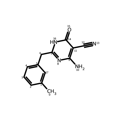 Cc1cccc(Cc2nc(N)c(C#N)c(=O)[nH]2)c1